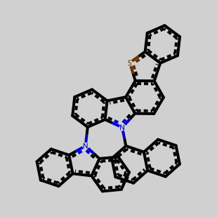 c1ccc2c(-n3c4ccc5c6ccccc6sc5c4c4cccc(-n5c6ccccc6c6ccccc65)c43)cccc2c1